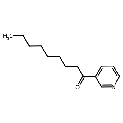 CCCCCCCCC(=O)c1cccnc1